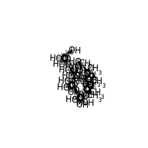 C[C@H](C(O)C[C@@H](O[C@@H]1O[C@H](CO[C@@H]2O[C@H](CCO)C[C@H](O)[C@H]2O)[C@@H](O)[C@H](O)[C@H]1O)C(C)(C)O)[C@H]1CC[C@@]2(C)[C@@H]3CC=C4[C@@H](CC[C@H](O[C@@H]5O[C@H](CO[C@@H]6O[C@H](CO)[C@@H](O)[C@H](O)[C@H]6O)[C@@H](O)[C@H](O)[C@H]5O)C4(C)C)[C@]3(C)[C@H](O)C[C@]12C